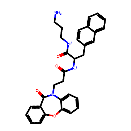 NCCCNC(=O)C(Cc1ccc2ccccc2c1)NC(=O)CCN1C(=O)c2ccccc2Oc2ccccc21